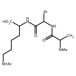 CNC(C)C(=O)NC(C(=O)NC(CCCCNC(C)=O)C(=O)O)C(C)C